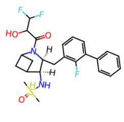 C[SH](C)(=O)N[C@H]1C2CC(C2)N(C(=O)C(O)C(F)F)[C@H]1Cc1cccc(-c2ccccc2)c1F